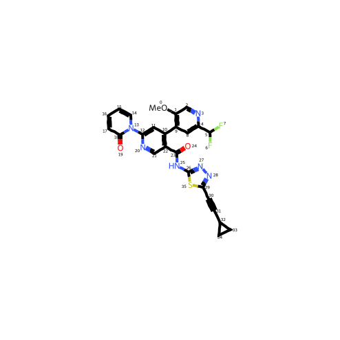 COc1cnc(C(F)F)cc1-c1cc(-n2ccccc2=O)ncc1C(=O)Nc1nnc(C#CC2CC2)s1